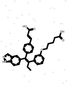 CC/C(=C(/c1ccc(/C=C/C(=O)O)cc1)c1ccc2[nH]ncc2c1)c1cccc(OCCCCC(=O)O)c1